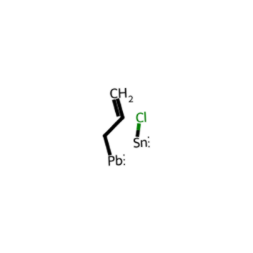 C=C[CH2][Pb].[Cl][Sn]